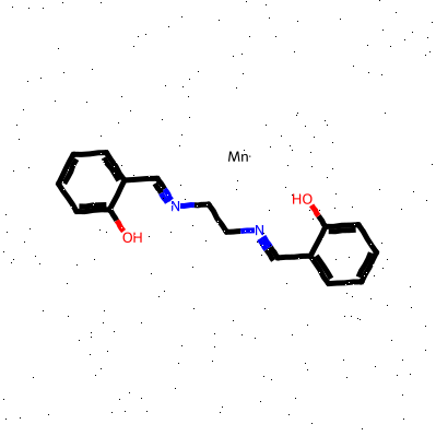 Oc1ccccc1C=NCCN=Cc1ccccc1O.[Mn]